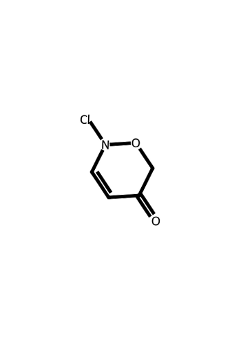 O=C1C=CN(Cl)OC1